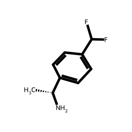 C[C@@H](N)c1ccc(C(F)F)cc1